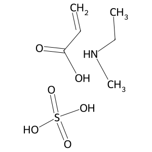 C=CC(=O)O.CCNC.O=S(=O)(O)O